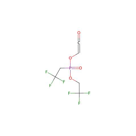 O=C=COP(=O)(CC(F)(F)F)OCC(F)(F)F